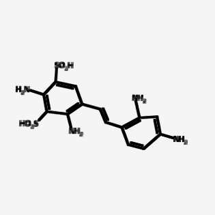 Nc1ccc(C=Cc2cc(S(=O)(=O)O)c(N)c(S(=O)(=O)O)c2N)c(N)c1